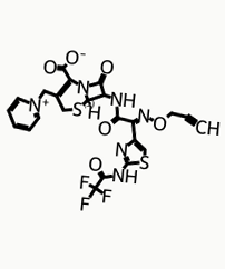 C#CCON=C(C(=O)NC1C(=O)N2C(C(=O)[O-])=C(C[n+]3ccccc3)CS[C@@H]12)c1csc(NC(=O)C(F)(F)F)n1